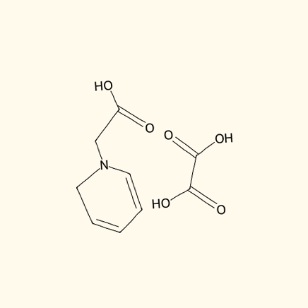 O=C(O)C(=O)O.O=C(O)CN1C=CC=CC1